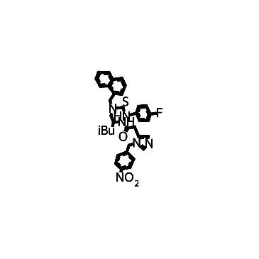 CCC(C)C(CN(Cc1cccc2ccccc12)C(=S)Nc1ccc(F)cc1)NC(=O)Cc1cncn1Cc1ccc([N+](=O)[O-])cc1